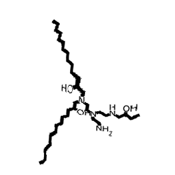 CCCCCCCCCCCCC(O)CN(CCN(CCN)CCNCC(O)CC)CC(O)CCCCCCCCCCC